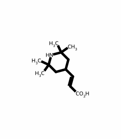 CC1(C)CC(C=CC(=O)O)CC(C)(C)N1